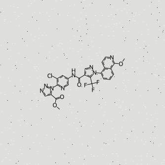 COC(=O)c1cnnn1-c1ncc(NC(=O)c2cnn(-c3cccc4c(OC)nccc34)c2C(F)(F)F)cc1Cl